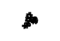 CC(C)(C)OC(=O)N1CCC2(CC=CCC2)C(OS(=O)(=O)C(F)(F)F)C1